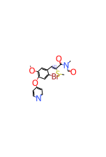 COc1cc(/C=C(\SC)C(=O)N(C)C=O)c(Br)cc1Oc1ccncc1